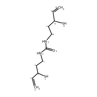 C=CC(S)CCNC(=O)NCCC(S)C=C